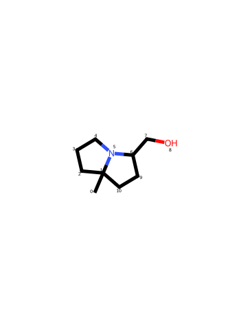 CC12CCCN1C(CO)CC2